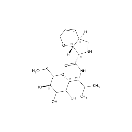 CSC1O[C@H]([C@H](NC(=O)[C@H]2NC[C@@H]3C=CCO[C@@H]23)C(C)C)C(O)C(O)[C@H]1O